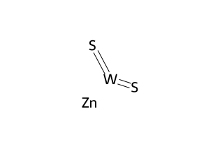 [S]=[W]=[S].[Zn]